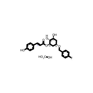 O=C(/C=C/c1ccc(O)cc1)O[C@@H]1C[C@@H](OCc2ccc(F)cc2)C[C@H](O)[C@H]1O.O=C(O)O